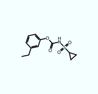 CCc1cccc(OC(=O)NS(=O)(=O)C2CC2)c1